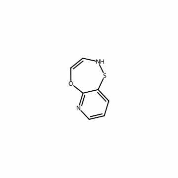 c1cnc2occ[nH]sc2c1